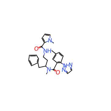 Cc1ccc(-n2nccn2)c(C(=O)N(C)C(CCNC(=O)c2cccn2C)Cc2ccccc2)c1